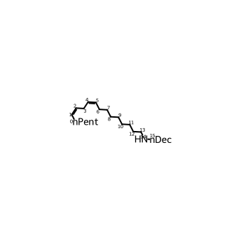 CCCCC/C=C\C/C=C\CCCCCCCCNCCCCCCCCCC